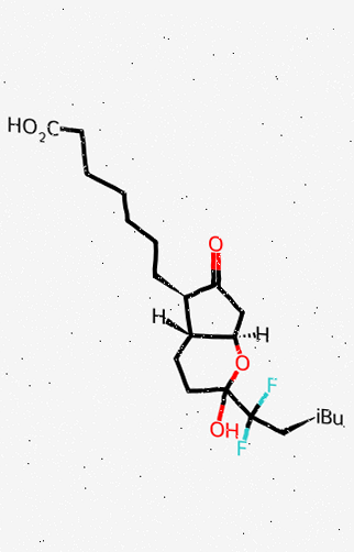 CC[C@H](C)CC(F)(F)C1(O)CC[C@H]2[C@@H](CC(=O)[C@@H]2CCCCCCC(=O)O)O1